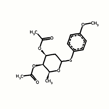 COc1ccc(SC2C[C@H](OC(C)=O)[C@H](OC(C)=O)[C@H](C)O2)cc1